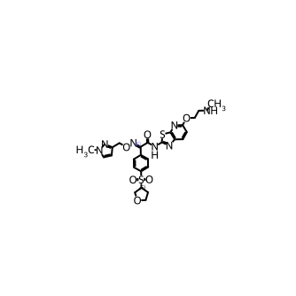 CNCCOc1ccc2nc(NC(=O)/C(=N/OCc3ccn(C)n3)c3ccc(S(=O)(=O)[C@H]4CCOC4)cc3)sc2n1